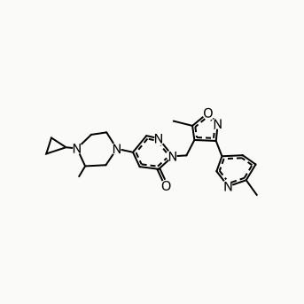 Cc1ccc(-c2noc(C)c2Cn2ncc(N3CCN(C4CC4)C(C)C3)cc2=O)cn1